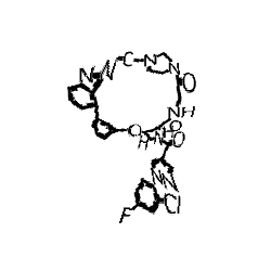 O=C1NCC(=O)N2CCN(CC2)CCn2cc3c(cccc3n2)-c2cccc(c2)O[C@H]2C[C@@H]1N(C(=O)c1cnn(-c3ccc(F)cc3Cl)c1)C2